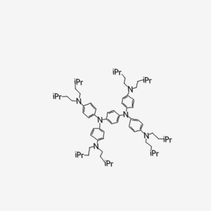 CC(C)CCN(CCC(C)C)c1ccc(N(c2ccc(N(CCC(C)C)CCC(C)C)cc2)c2ccc(N(c3ccc(N(CCC(C)C)CCC(C)C)cc3)c3ccc(N(CCC(C)C)CCC(C)C)cc3)cc2)cc1